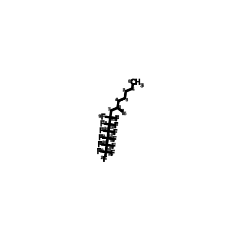 CCCCCC(I)CC(F)(F)C(F)(F)C(F)(F)C(F)(F)C(F)(F)C(F)(F)F